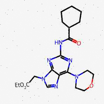 CCOC(=O)Cn1cnc2c(N3CCOCC3)nc(NC(=O)C3CCCCC3)nc21